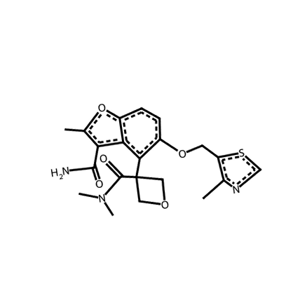 Cc1ncsc1COc1ccc2oc(C)c(C(N)=O)c2c1C1(C(=O)N(C)C)COC1